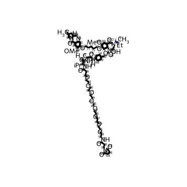 CC/C(C)=C\N1C[C@H](O)N(C(=O)OCc2ccc(NC(=O)[C@H](C)NC(=O)[C@@H](NC(=O)CCOCCOCCOCCOCCOCCOCCOCCOCCNC(=O)CCN3C(=O)C=CC3=O)C(C)C)cc2)c2cc(OCCCCCOc3cc4c(cc3OC)C(=O)N3C=C(C)C[C@H]3C=N4)c(OC)cc2C1=O